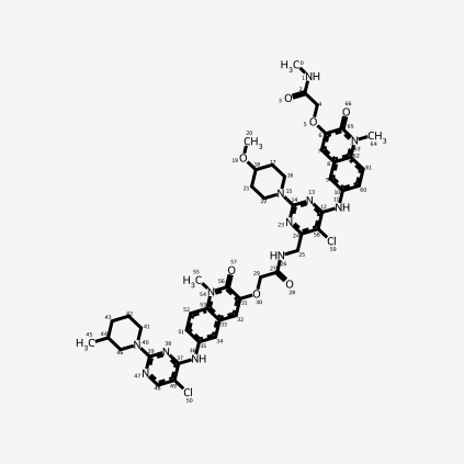 CNC(=O)COc1cc2cc(Nc3nc(N4CCC(OC)CC4)nc(CNC(=O)COc4cc5cc(Nc6nc(N7CCCC(C)C7)ncc6Cl)ccc5n(C)c4=O)c3Cl)ccc2n(C)c1=O